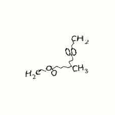 C=CCOC(=O)CCCCC(C)CCC(=O)OCC=C